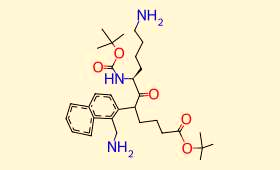 CC(C)(C)OC(=O)CCCC(C(=O)[C@H](CCCCN)NC(=O)OC(C)(C)C)c1ccc2ccccc2c1CN